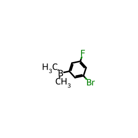 CB(C)c1cc(F)cc(Br)c1